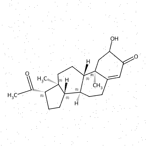 CC(=O)[C@H]1CC[C@H]2[C@@H]3CCC4=CC(=O)C(O)C[C@]4(C)[C@H]3CC[C@]12C